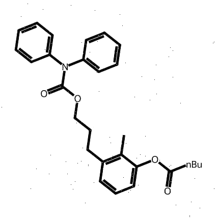 CCCCC(=O)Oc1cccc(CCCOC(=O)N(c2ccccc2)c2ccccc2)c1C